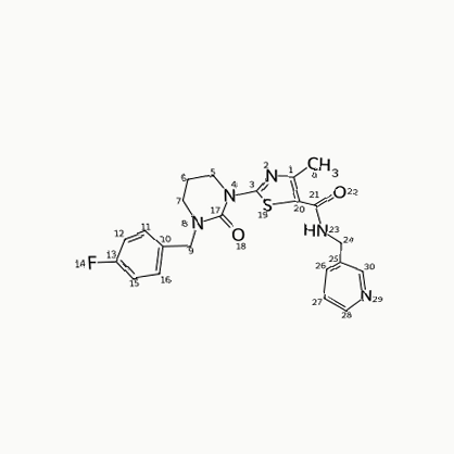 Cc1nc(N2CCCN(Cc3ccc(F)cc3)C2=O)sc1C(=O)NCc1cccnc1